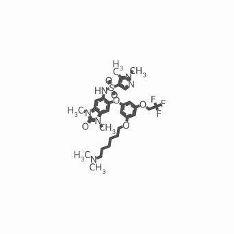 Cc1c(S(=O)(=O)Nc2cc3c(cc2Oc2cc(OCCCCCCN(C)C)cc(OCC(F)(F)F)c2)n(C)c(=O)n3C)cnn1C